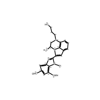 CCn1c(-c2cc3cccc4c3n2C(C)CN4CCCO)nc2cc(C=O)cc(OC)c21